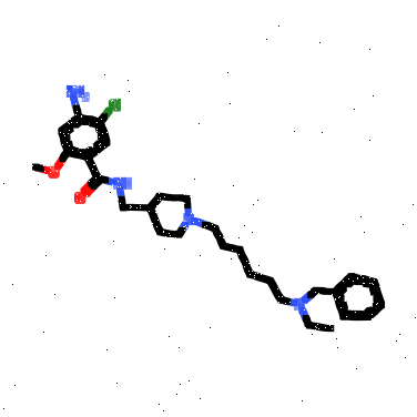 CCN(CCCCCCN1CCC(CNC(=O)c2cc(Cl)c(N)cc2OC)CC1)Cc1ccccc1